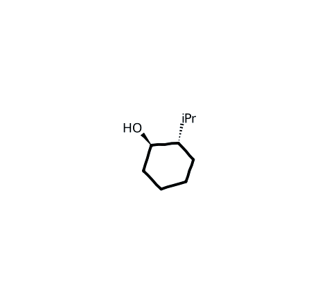 CC(C)[C@@H]1CCCC[C@H]1O